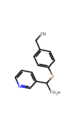 N#CCc1ccc(SC(C(=O)O)c2cccnc2)cc1